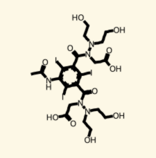 CC(=O)Nc1c(I)c(C(=O)N(CC(=O)O)N(CCO)CCO)c(I)c(C(=O)N(CC(=O)O)N(CCO)CCO)c1I